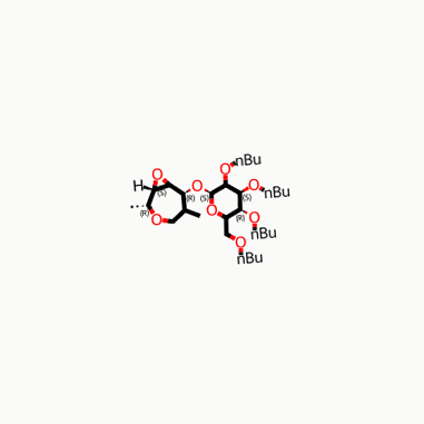 CCCCOCC1O[C@H](O[C@@H]2C(C)CO[C@H](C)[C@@H]3OC23)C(OCCCC)[C@@H](OCCCC)[C@@H]1OCCCC